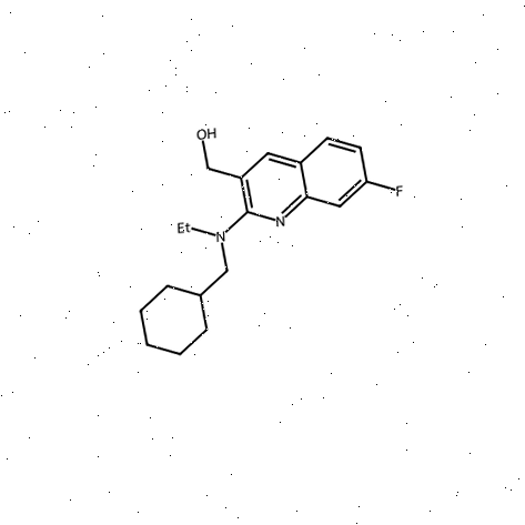 CCN(CC1CCCCC1)c1nc2cc(F)ccc2cc1CO